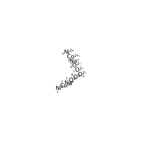 [Co+2].[Co+2].[Na+].[Na+].[Ni+2].[Ni+2].[O-2].[O-2].[O-2].[O-2].[O-2]